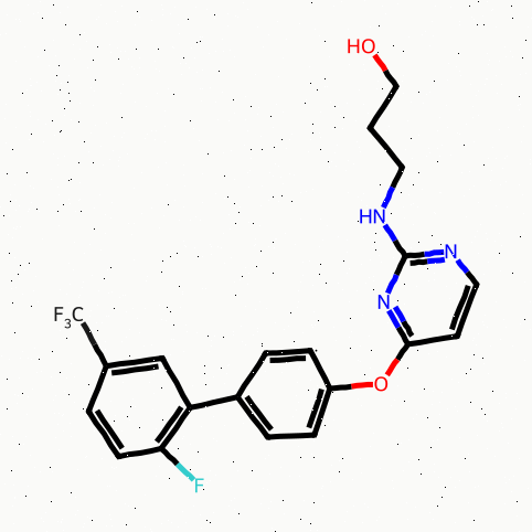 OCCCNc1nccc(Oc2[c]cc(-c3cc(C(F)(F)F)ccc3F)cc2)n1